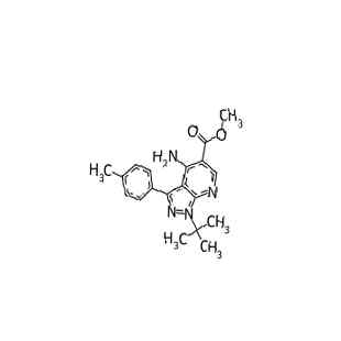 COC(=O)c1cnc2c(c(-c3ccc(C)cc3)nn2C(C)(C)C)c1N